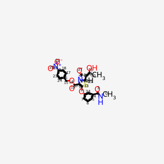 CNC(=O)c1cccc(OC2=C(C(=O)OCc3ccc([N+](=O)[O-])cc3)N3C(=O)[C@H]([C@@H](C)O)[C@H]3S2)c1